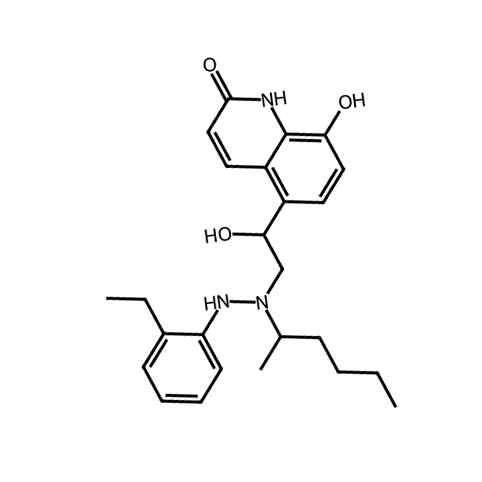 CCCCC(C)N(CC(O)c1ccc(O)c2[nH]c(=O)ccc12)Nc1ccccc1CC